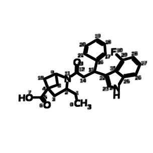 CCC1CC2(C(=O)O)CC(C2)N1C(=O)CC(c1ccccc1)c1c[nH]c2cccc(F)c12